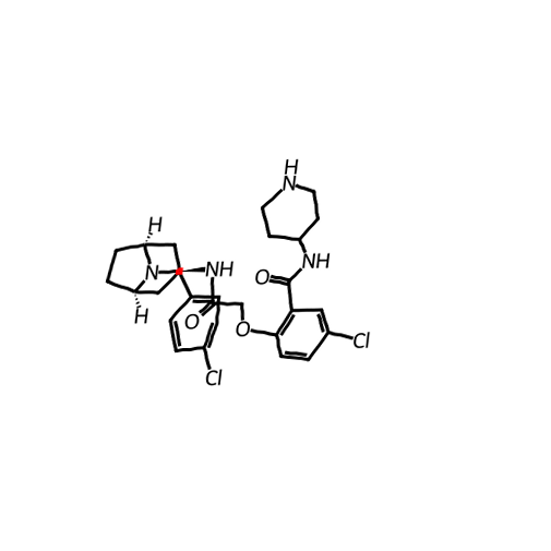 O=C(COc1ccc(Cl)cc1C(=O)NC1CCNCC1)N[C@H]1C[C@H]2CC[C@@H](C1)N2Cc1ccc(Cl)cc1